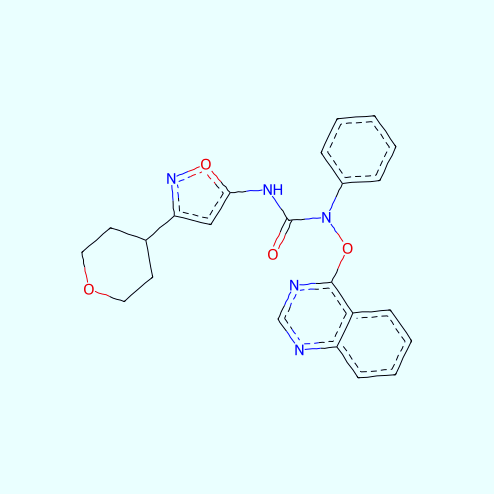 O=C(Nc1cc(C2CCOCC2)no1)N(Oc1ncnc2ccccc12)c1ccccc1